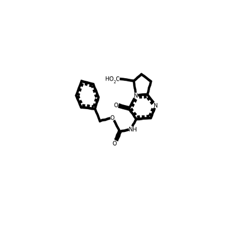 O=C(Nc1cnc2n(c1=O)C(C(=O)O)CC2)OCc1ccccc1